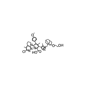 COc1ccc(-c2c(N3CCCc4c3nnc(Cl)c4C)nc(C(=O)O)c(-c3cnn(CC45CC6CC(C4)CC(OCCO)(C6)C5)c3C)c2C)cc1